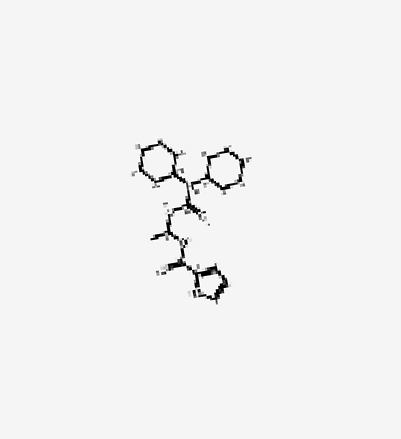 CC(OC(=O)c1ccco1)OC(=O)N(C1CCCCC1)C1CCCCC1